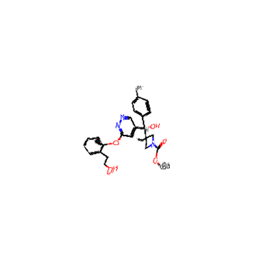 CC(C)c1ccc([C@](O)(c2cnnc(Oc3ccccc3CCO)c2)C2(C)CN(C(=O)OC(C)(C)C)C2)cc1